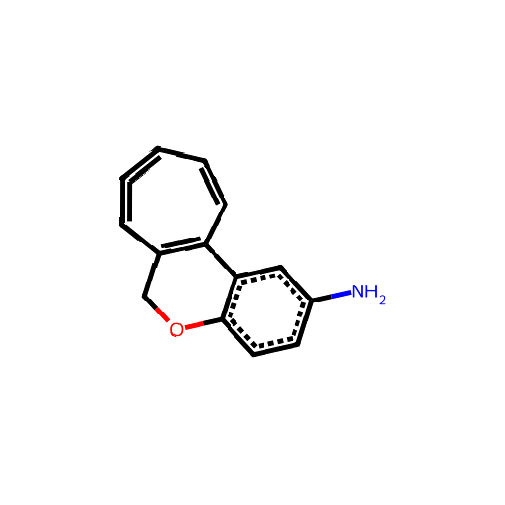 Nc1ccc2c(c1)C1=C(C=C=CC=C1)CO2